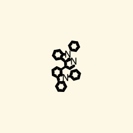 c1ccc(-n2c3ccccc3c3c(-c4cccc5c6ccccc6n(-c6ccccc6)c45)ccnc32)cc1